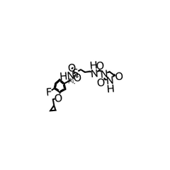 C[C@@H](NS(=O)(=O)CCCNC(=O)N1CC(=O)NC1=O)c1ccc(F)c(OCC2CC2)c1